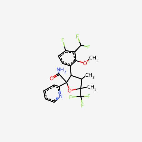 COc1c(C2C(C)C(C)(C(F)(F)F)OC2(C(N)=O)c2ccccn2)ccc(F)c1C(F)F